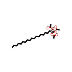 CCCCCCCCCCCCCCCCCC[Si](OC(C)=O)(OC(C)=O)OC(C)=O